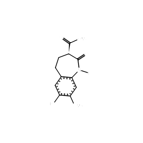 CCN1C(=O)[C@H](C(=O)OC)CCc2cc(Br)c(OC)cc21